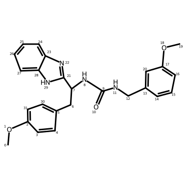 COc1ccc(CC(NC(=O)NCc2cccc(OC)c2)c2nc3ccccc3[nH]2)cc1